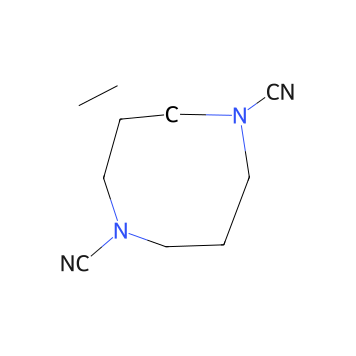 CC.N#CN1CCCN(C#N)CCC1